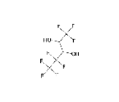 OC(C(O)C(F)(F)C(F)(F)F)C(F)(F)F